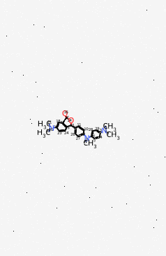 CN(C)c1ccc(N(C)c2ccc(C3OC(=O)c4cc(N(C)C)ccc43)cc2)cc1